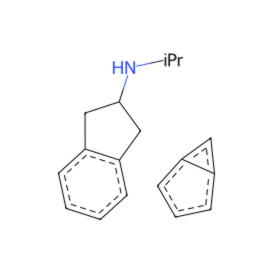 CC(C)NC1Cc2ccccc2C1.c1cc2cc-2c1